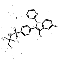 CC(C)(CF)NS(=O)(=O)c1ccc(-c2c(C#N)c3cc(F)ccc3n2-c2ncccn2)nc1